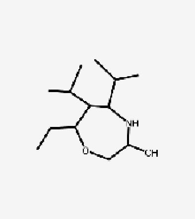 CCC1OCC(O)NC(C(C)C)C1C(C)C